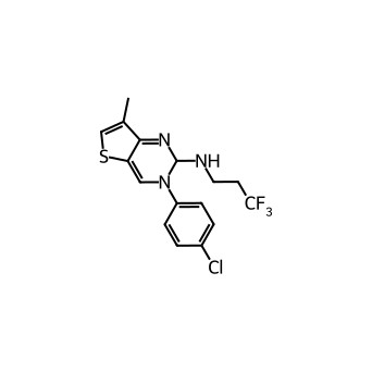 Cc1csc2c1=NC(NCCC(F)(F)F)N(c1ccc(Cl)cc1)C=2